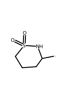 [CH2]C1CCCS(=O)(=O)N1